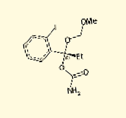 CC[C@@](OCOC)(OC(N)=O)c1ccccc1I